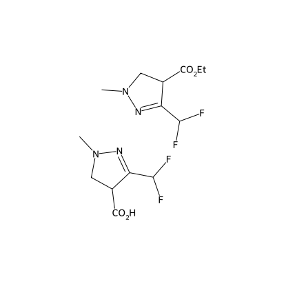 CCOC(=O)C1CN(C)N=C1C(F)F.CN1CC(C(=O)O)C(C(F)F)=N1